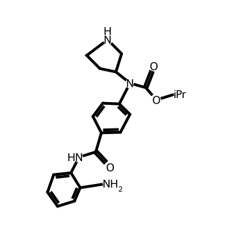 CC(C)OC(=O)N(c1ccc(C(=O)Nc2ccccc2N)cc1)C1CCNC1